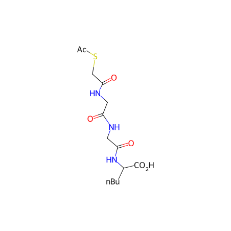 CCCCC(NC(=O)CNC(=O)CNC(=O)CSC(C)=O)C(=O)O